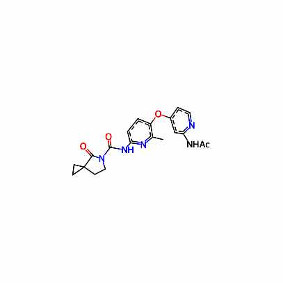 CC(=O)Nc1cc(Oc2ccc(NC(=O)N3CCC4(CC4)C3=O)nc2C)ccn1